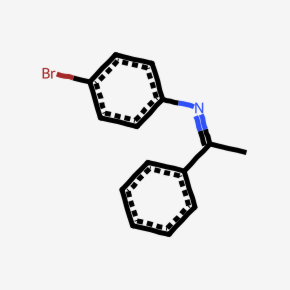 CC(=Nc1ccc(Br)cc1)c1ccccc1